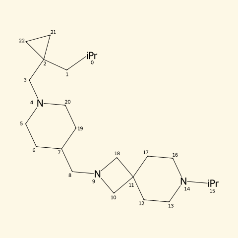 CC(C)CC1(CN2CCC(CN3CC4(CCN(C(C)C)CC4)C3)CC2)CC1